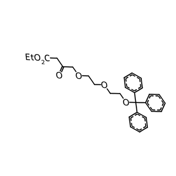 CCOC(=O)CC(=O)COCCOCCOC(c1ccccc1)(c1ccccc1)c1ccccc1